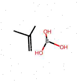 C=C(C)C.OB(O)O